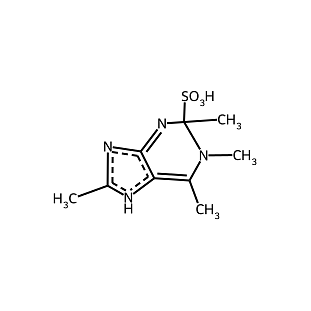 CC1=c2[nH]c(C)nc2=NC(C)(S(=O)(=O)O)N1C